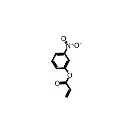 C=CC(=O)Oc1cccc([N+](=O)[O-])c1